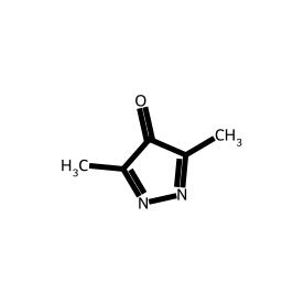 CC1=NN=C(C)C1=O